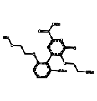 COCCOc1c(-c2c(OC)cccc2OCCOC(C)(C)C)cc(C(=O)OC)oc1=O